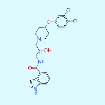 O=C(NC[C@@H](O)CN1CCC(Oc2ccc(Cl)c(Cl)c2)CC1)c1cccc2[nH]ccc12